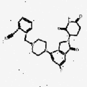 N#Cc1ccccc1CN1CCN(c2cc(F)cc3c2CN(C2CCC(=O)NC2=O)C3=O)CC1